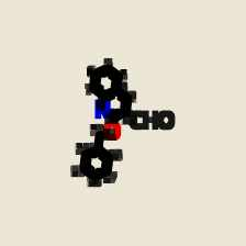 O=Cc1cc2ccccc2nc1OCc1ccccc1